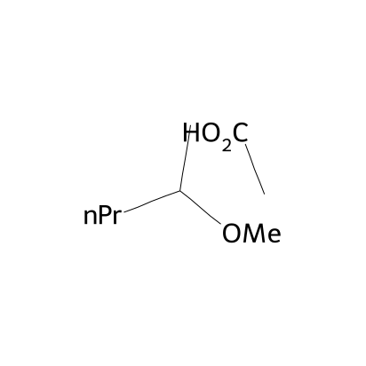 CC(=O)O.CCCC(C)OC